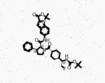 CC(C)(C)OC(=O)N[C@H](CF)[C@H]1CC[C@H](C(=O)N2CC[C@@H](c3ccccc3)[C@H]2C(=O)Nc2ccc3c(c2)cc2n3C(C)(C)OC2=O)CC1